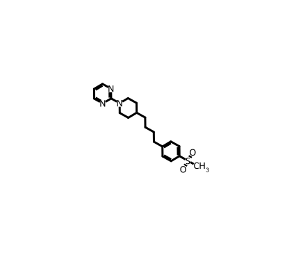 CS(=O)(=O)c1ccc(CCCCC2CCN(c3ncccn3)CC2)cc1